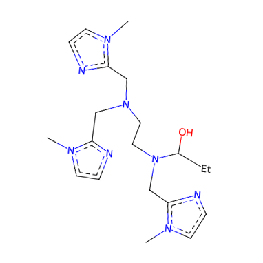 CCC(O)N(CCN(Cc1nccn1C)Cc1nccn1C)Cc1nccn1C